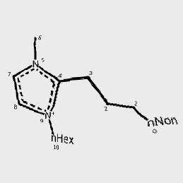 CCCCCCCCCCCCc1n(C)cc[n+]1CCCCCC